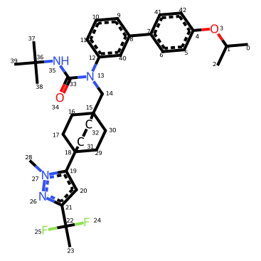 CC(C)Oc1ccc(-c2cccc(N(CC34CCC(c5cc(C(C)(F)F)nn5C)(CC3)CC4)C(=O)NC(C)(C)C)c2)cc1